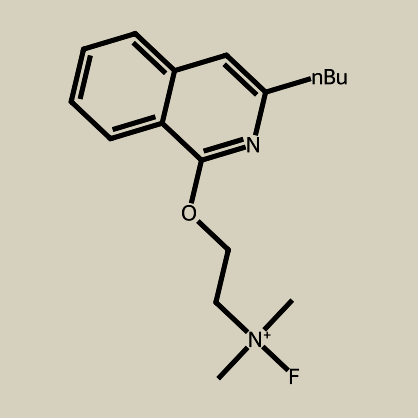 CCCCc1cc2ccccc2c(OCC[N+](C)(C)F)n1